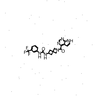 O=C(Nc1cccc(C(F)(F)F)c1)NC1CC2(C1)CN(C(=O)c1ncnc3[nH]ccc13)C2